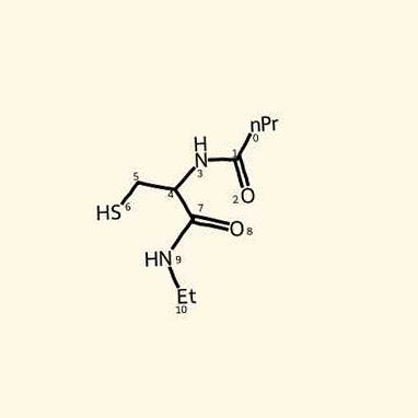 CCCC(=O)NC(CS)C(=O)NCC